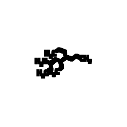 C=C/C=C(\C=C/C)C(/C=C(/N)C=C)=C/C